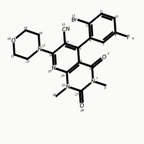 Cn1c(=O)c2c(-c3cc(F)ccc3Br)c(C#N)c(N3CCOCC3)nc2n(C)c1=O